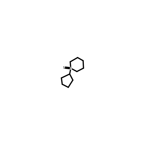 S=P1(C2CCCC2)CCCCC1